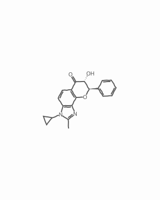 Cc1nc2c3c(ccc2n1C1CC1)C(=O)[C@H](O)[C@@H](c1ccccc1)O3